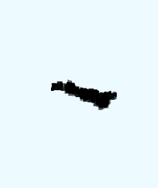 CCCCc1ccc(COc2ccc(C(=O)N[C@@H](Cc3ccccc3)C(=O)OC)cc2)cc1